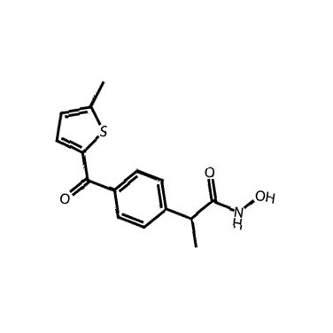 Cc1ccc(C(=O)c2ccc(C(C)C(=O)NO)cc2)s1